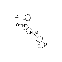 O=C(C(c1ccccc1)C1CC1)N1CC2=C(C1)CN(S(=O)(=O)c1ccc3c(c1)OCCO3)C2